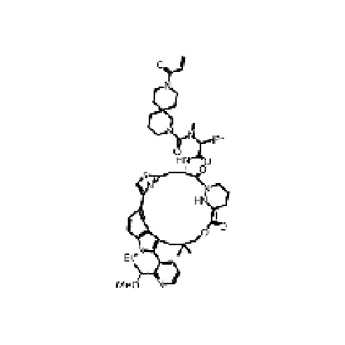 C=CC(=O)N1CCC2(CCCN(C(=O)N(C)C(C(=O)N[C@H]3Cc4nc(cs4)-c4ccc5c(c4)c(c(-c4cccnc4[C@H](C)OC)n5CC)CC(C)(C)COC(=O)[C@@H]4CCCN(N4)C3=O)C(C)C)C2)CC1